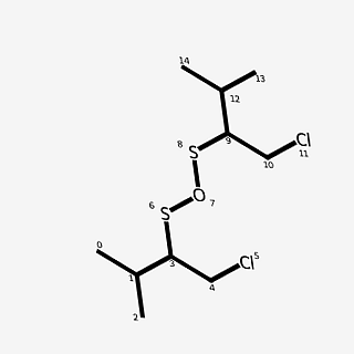 CC(C)C(CCl)SOSC(CCl)C(C)C